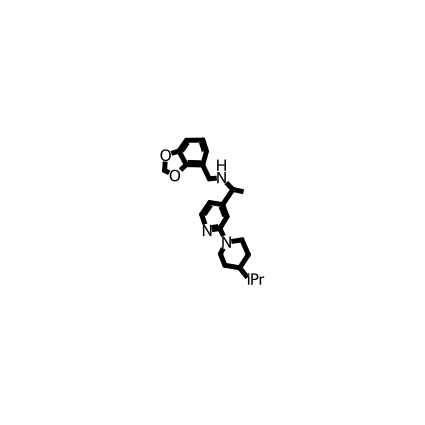 CC(NCc1cccc2c1OCO2)c1ccnc(N2CCC(C(C)C)CC2)c1